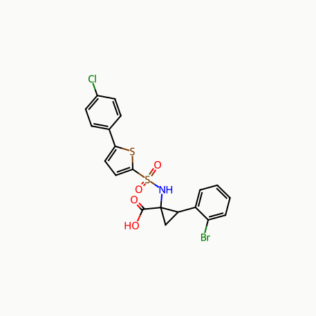 O=C(O)C1(NS(=O)(=O)c2ccc(-c3ccc(Cl)cc3)s2)CC1c1ccccc1Br